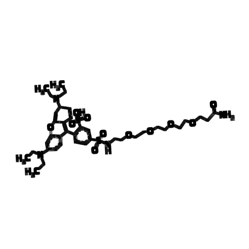 CCN(CC)c1ccc2c(c1)OC1=CC(N(CC)CC)C=CC1=C2c1ccc(S(=O)(=O)NCCOCCOCCOCCOCCC(N)=O)cc1S(=O)(=O)O